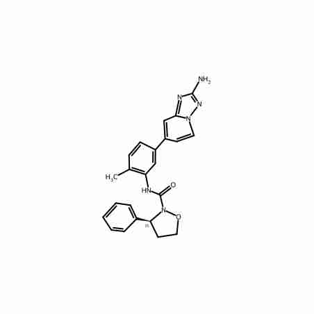 Cc1ccc(-c2ccn3nc(N)nc3c2)cc1NC(=O)N1OCC[C@H]1c1ccccc1